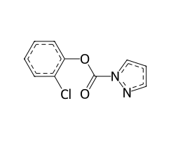 O=C(Oc1ccccc1Cl)n1cccn1